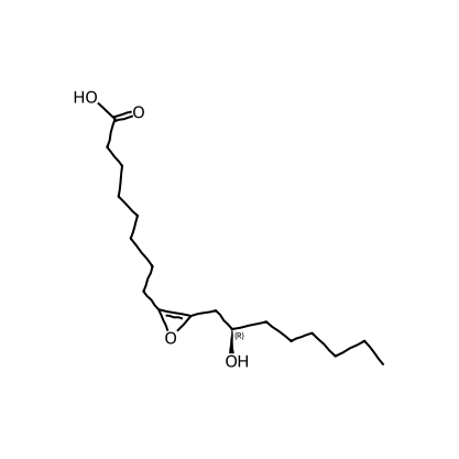 CCCCCC[C@@H](O)CC1=C(CCCCCCCC(=O)O)O1